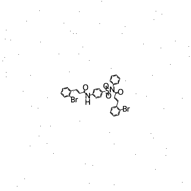 O=C(C=Cc1ccccc1Br)Nc1ccc(S(=O)(=O)N(C(=O)C=Cc2ccccc2Br)c2ccccc2)cc1